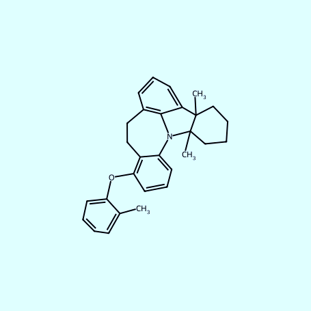 Cc1ccccc1Oc1cccc2c1CCc1cccc3c1N2C1(C)CCCCC31C